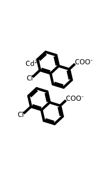 O=C([O-])c1cccc2c(Cl)cccc12.O=C([O-])c1cccc2c(Cl)cccc12.[Cd+2]